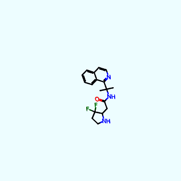 CC(C)(NC(=O)CC1NCCC1(F)F)c1nccc2ccccc12